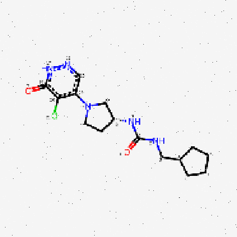 O=C(NCC1CCCC1)N[C@@H]1CCN(c2cn[nH]c(=O)c2Cl)C1